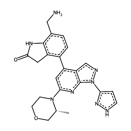 C[C@@H]1COCCN1c1cc(-c2ccc(CN)c3c2CC(=O)N3)c2cnn(-c3cc[nH]n3)c2n1